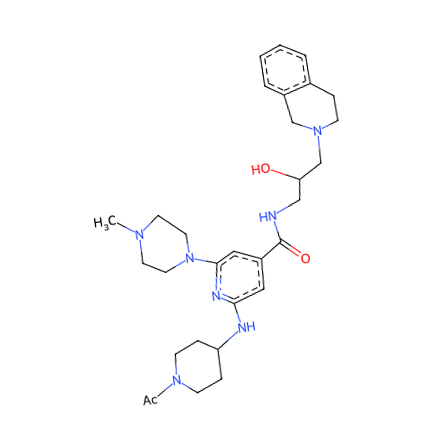 CC(=O)N1CCC(Nc2cc(C(=O)NCC(O)CN3CCc4ccccc4C3)cc(N3CCN(C)CC3)n2)CC1